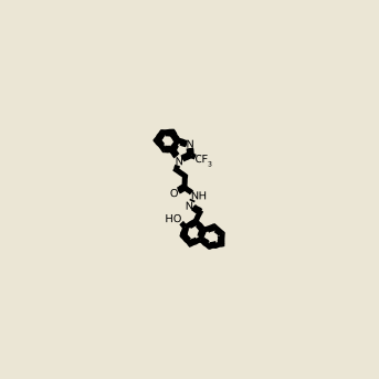 O=C(CCn1c(C(F)(F)F)nc2ccccc21)N/N=C/c1c(O)ccc2ccccc12